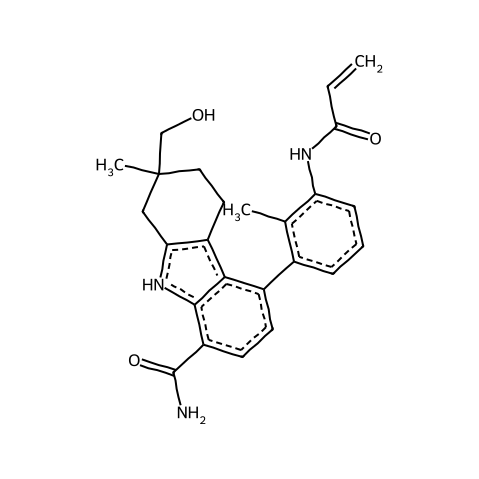 C=CC(=O)Nc1cccc(-c2ccc(C(N)=O)c3[nH]c4c(c23)CCC(C)(CO)C4)c1C